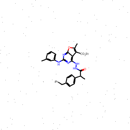 CCOC(=O)c1c(C)oc2nc(Nc3cccc(C)c3)nc(NNC(=O)C(C)c3ccc(CC(C)C)cc3)c12